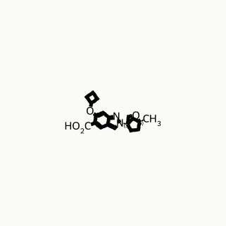 C[C@@]12CC[C@@](n3cc4cc(C(=O)O)c(OC5CCC5)cc4n3)(CO1)C2